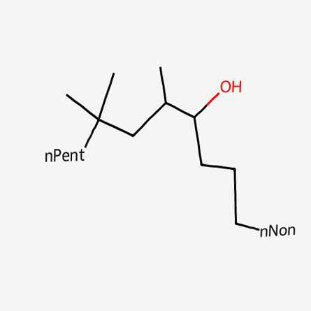 CCCCCCCCCCCCC(O)C(C)CC(C)(C)CCCCC